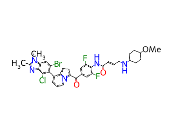 COC1CCC(NC/C=C/C(=O)Nc2c(F)cc(C(=O)c3ccc4c(-c5c(Br)cc6c(nc(C)n6C)c5Cl)cccn34)cc2F)CC1